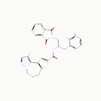 O=C(NC(Cc1cccc(F)c1F)CN1C(=O)c2ccccc2C1=O)c1cc2c(s1)CCCn1ncc(Br)c1-2